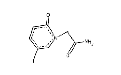 NC(=O)Cn1cc(I)ccc1=O